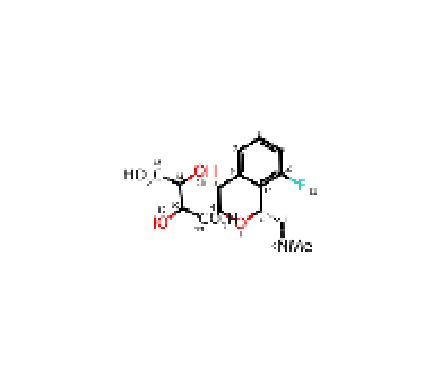 CNC[C@@H]1OCCc2cccc(F)c21.O=C(O)C(O)C(O)C(=O)O